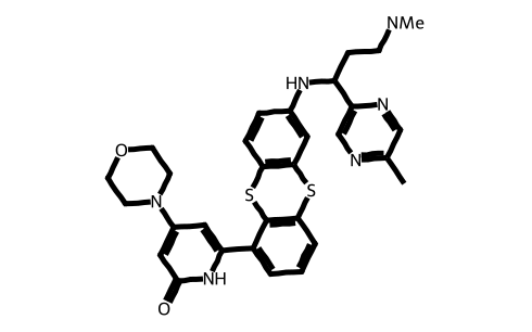 CNCCC(Nc1ccc2c(c1)Sc1cccc(-c3cc(N4CCOCC4)cc(=O)[nH]3)c1S2)c1cnc(C)cn1